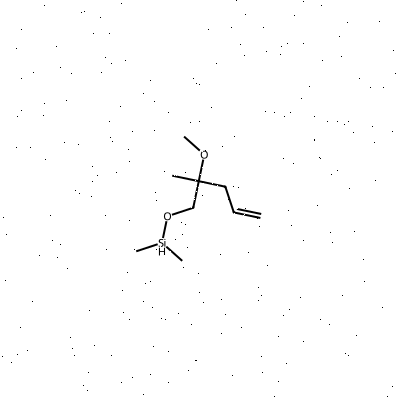 C=CCC(C)(CO[SiH](C)C)OC